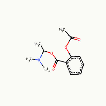 CC(=O)Oc1ccccc1C(=O)OC(C)N(C)C